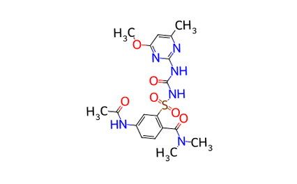 COc1cc(C)nc(NC(=O)NS(=O)(=O)c2cc(NC(C)=O)ccc2C(=O)N(C)C)n1